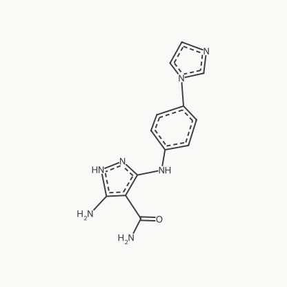 NC(=O)c1c(Nc2ccc(-n3ccnc3)cc2)n[nH]c1N